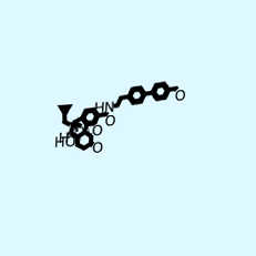 O=Cc1ccc(-c2ccc(CCNC(=O)c3ccc4c5c3OC3C(=O)CC[C@@]6(O)[C@@H](C4)N(CC4CC4)CC[C@]536)cc2)cc1